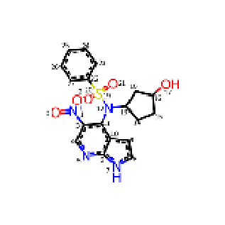 O=[N+]([O-])c1cnc2[nH]ccc2c1N(C1CCC(O)C1)S(=O)(=O)c1ccccc1